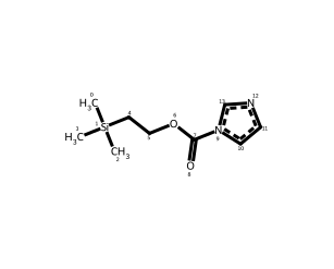 C[Si](C)(C)CCOC(=O)n1ccnc1